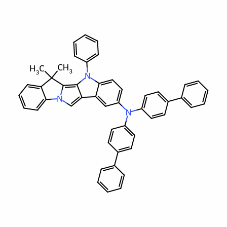 CC1(C)c2ccccc2-n2cc3c4cc(N(c5ccc(-c6ccccc6)cc5)c5ccc(-c6ccccc6)cc5)ccc4n(-c4ccccc4)c3c21